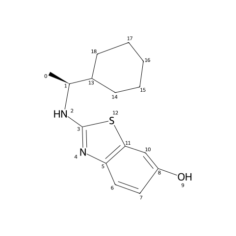 C[C@H](Nc1nc2ccc(O)cc2s1)C1CCCCC1